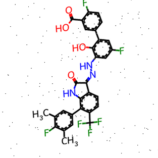 Cc1cc(-c2c(C(F)(F)F)ccc3c2NC(=O)C3=NNc2cc(F)cc(-c3ccc(F)c(C(=O)O)c3)c2O)cc(C)c1F